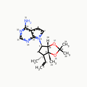 C=C[C@@]1(C)C[C@@H](n2ccc3c(N)ncnc32)[C@@H]2OC(C)(C)O[C@@]21C